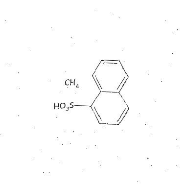 C.O=S(=O)(O)c1cccc2ccccc12